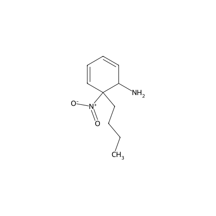 CCCCC1([N+](=O)[O-])C=CC=CC1N